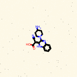 N#CC(C(=O)O)=C1Nc2ccccc2N=C1N1CCC(N)CC1